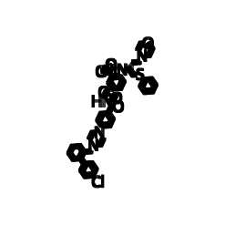 O=C(NS(=O)(=O)c1ccc(N[C@H](CCN2CCOCC2)CSc2ccccc2)c([N+](=O)[O-])c1)c1ccc(N2CCN(CC3=C(c4ccc(Cl)cc4)CCCC3)CC2)cc1